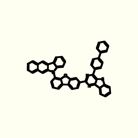 c1ccc(-c2ccc(-c3nc(-c4ccc5c(c4)oc4c(-n6c7ccccc7c7cc8ccccc8cc76)cccc45)nc4c3sc3ccccc34)cc2)cc1